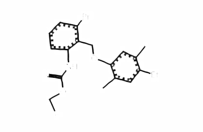 CCc1cc(C)c(OCc2c(Br)cccc2NC(=S)OCF)cc1C